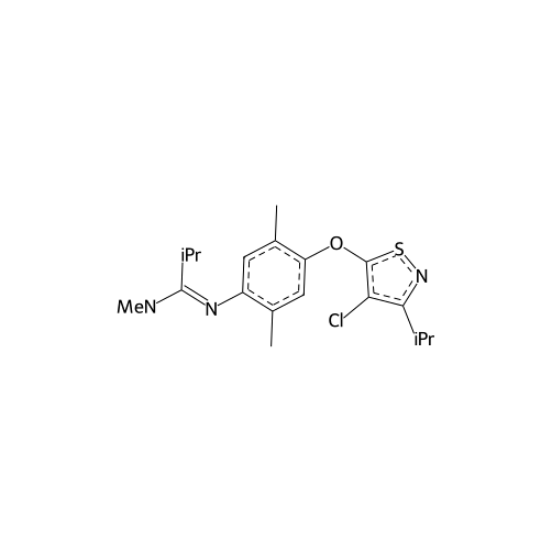 CNC(=Nc1cc(C)c(Oc2snc(C(C)C)c2Cl)cc1C)C(C)C